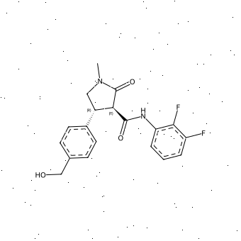 CN1C[C@@H](c2ccc(CO)cc2)[C@H](C(=O)Nc2cccc(F)c2F)C1=O